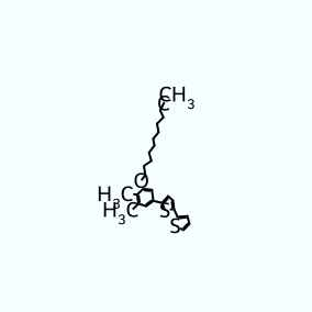 CCCCCCCCCCCCOc1cc(-c2ccc(-c3cccs3)s2)cc(C)c1C